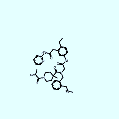 CCc1ccc(NC(=O)CN(Cc2ccccc2CNC)C(=O)C2(C)CCN(C(=O)C(F)F)CC2)cc1CC(=O)Nc1ccccn1